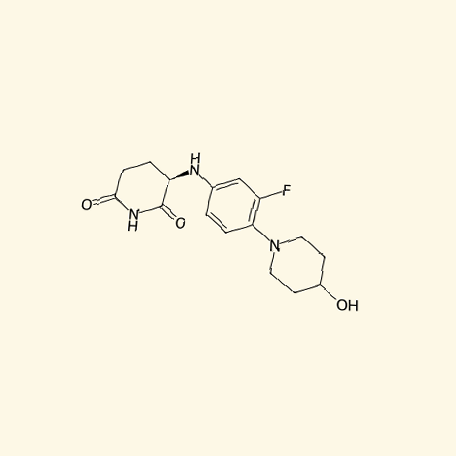 O=C1CC[C@@H](Nc2ccc(N3CCC(O)CC3)c(F)c2)C(=O)N1